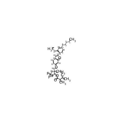 CCCCCc1ccc(-c2cc3ccc(OCC(C)(COC(=O)C(C)C(C)C)CC(F)(F)F)cc3o2)c(CC)c1